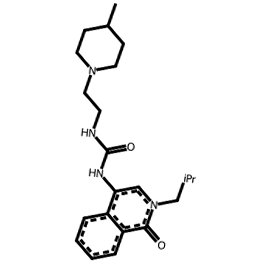 CC(C)Cn1cc(NC(=O)NCCN2CCC(C)CC2)c2ccccc2c1=O